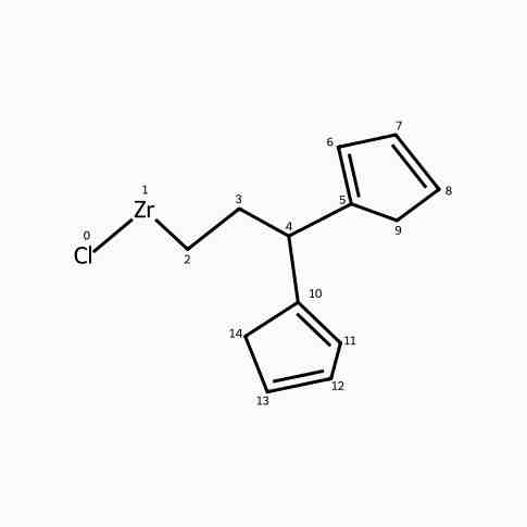 [Cl][Zr][CH2]CC(C1=CC=CC1)C1=CC=CC1